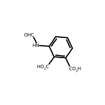 O=CNc1cccc(C(=O)O)c1C(=O)O